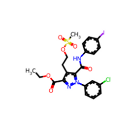 CCOC(=O)c1nn(-c2cccc(Cl)c2)c(C(=O)Nc2ccc(I)cc2)c1CCOS(C)(=O)=O